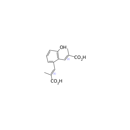 C/C(=C\c1cccc(O)c1/C=C(\C)C(=O)O)C(=O)O